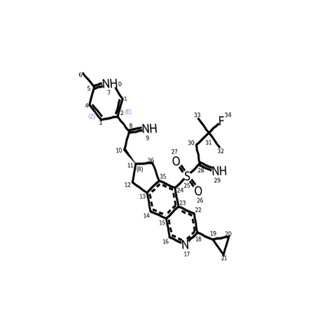 C/C=C(\C=C/C(C)=N)C(=N)C[C@@H]1Cc2cc3cnc(C4CC4)cc3c(S(=O)(=O)C(=N)CC(C)(C)F)c2C1